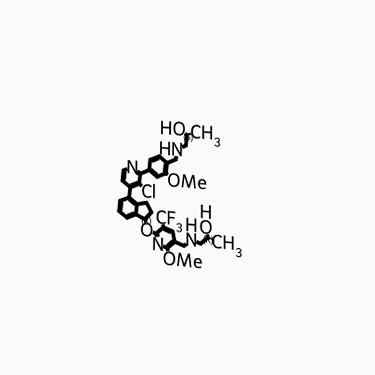 COc1cc(-c2nccc(-c3cccc4c3CC[C@H]4Oc3nc(OC)c(CNC[C@@H](C)O)cc3C(F)(F)F)c2Cl)ccc1CNC[C@H](C)O